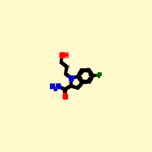 NC(=O)C1Cc2cc(F)ccc2N1C[CH]CO